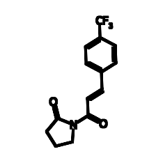 O=C(/C=C/c1ccc(C(F)(F)F)cc1)N1CCCC1=O